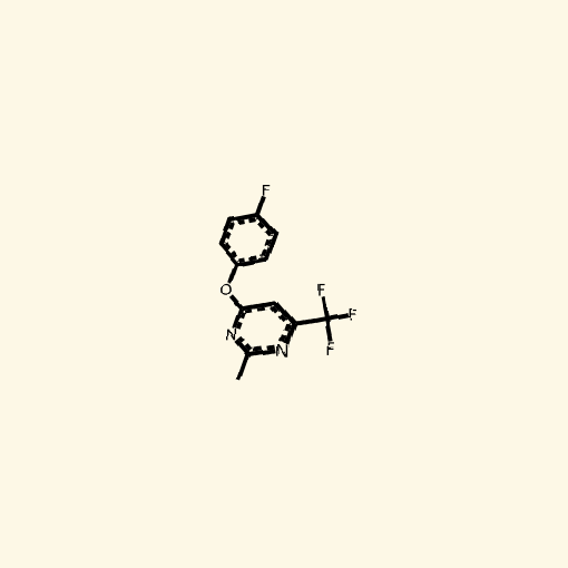 Cc1nc(Oc2ccc(F)cc2)cc(C(F)(F)F)n1